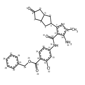 Cn1nc(C2CC3CC(=O)CC3C2)c(C(=O)Nc2ccc(C(=O)OCc3ccccc3)c(Cl)c2)c1N